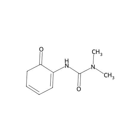 CN(C)C(=O)NC1=CC=CCC1=O